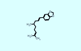 CC(C)=CCCC(C)C/C=C/c1ccc2c(c1)OCO2